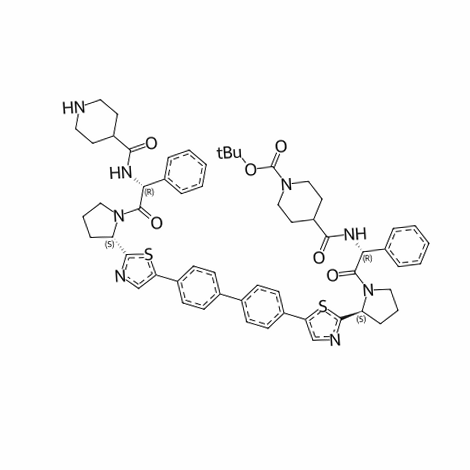 CC(C)(C)OC(=O)N1CCC(C(=O)N[C@@H](C(=O)N2CCC[C@H]2c2ncc(-c3ccc(-c4ccc(-c5cnc([C@@H]6CCCN6C(=O)[C@H](NC(=O)C6CCNCC6)c6ccccc6)s5)cc4)cc3)s2)c2ccccc2)CC1